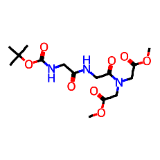 COC(=O)CN(CC(=O)OC)C(=O)CNC(=O)CNC(=O)OC(C)(C)C